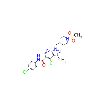 Cc1nn(CC2CCN(S(C)(=O)=O)CC2)c2ncc(C(=O)Nc3ccc(Cl)cc3)c(Cl)c12